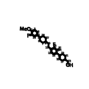 COc1ccc(C2CCC(CCc3ccc(C4=CCC(CO)CC4)c(F)c3F)CC2)cc1F